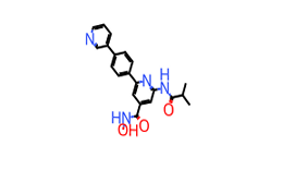 CC(C)C(=O)Nc1cc(C(=O)NO)cc(-c2ccc(-c3cccnc3)cc2)n1